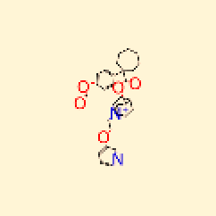 O=C(OC1C[N+]2(CCOc3cccnc3)CCC1CC2)C1(c2ccccc2)CCCCCC1.O=C[O-]